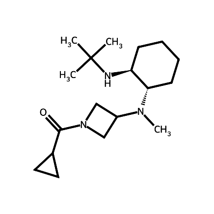 CN(C1CN(C(=O)C2CC2)C1)[C@H]1CCCC[C@@H]1NC(C)(C)C